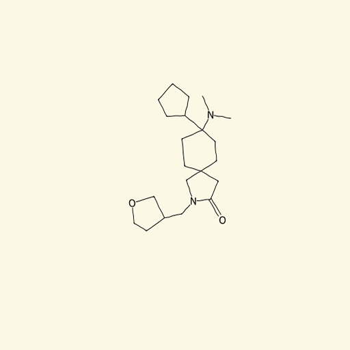 CN(C)C1(C2CCCC2)CCC2(CC1)CC(=O)N(CC1CCOC1)C2